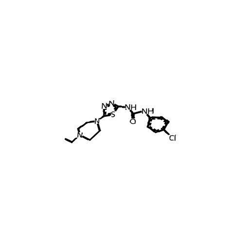 CCN1CCN(c2nnc(NC(=O)Nc3ccc(Cl)cc3)s2)CC1